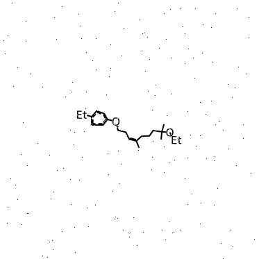 CCOC(C)(C)CCCC(C)=CCCOc1ccc(CC)cc1